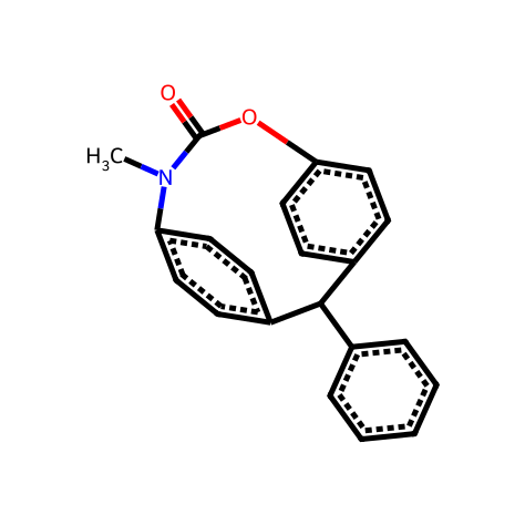 CN1C(=O)Oc2ccc(cc2)C(c2ccccc2)c2ccc1cc2